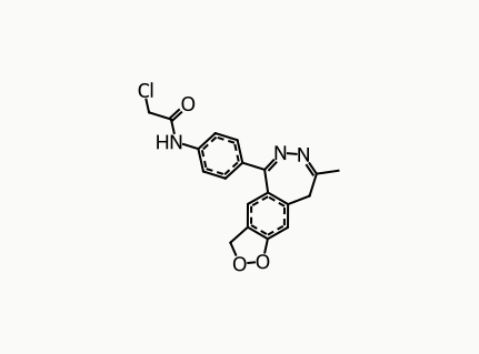 CC1=NN=C(c2ccc(NC(=O)CCl)cc2)c2cc3c(cc2C1)OOC3